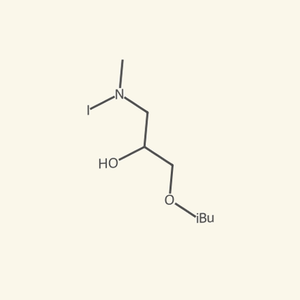 CCC(C)OCC(O)CN(C)I